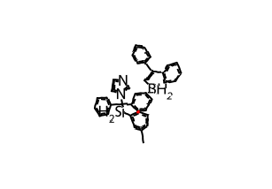 BC=C(c1ccccc1)c1ccccc1.Cc1cccc([SiH2]C(c2ccccc2)(c2ccccc2)n2ccnc2)c1